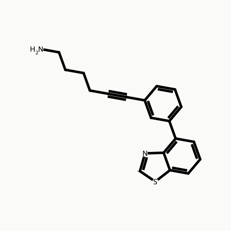 NCCCCC#Cc1cccc(-c2cccc3s[c]nc23)c1